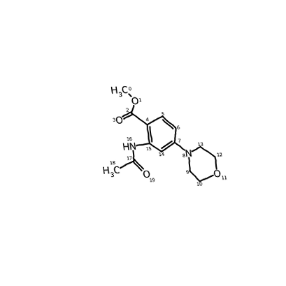 COC(=O)c1ccc(N2CCOCC2)cc1NC(C)=O